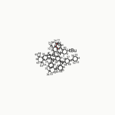 CC(C)(C)c1ccc(N2c3cc4c(cc3B3c5sc6cc7c(cc6c5N(c5ccc6c(c5)C(C)(C)CCC6(C)C)c5cc(N(c6ccccc6)c6ccc(-c8ccccc8)cc6)cc2c53)C(C)(C)CCC7(C)C)C(C)(C)CCC4(C)C)c(-c2ccccc2)c1